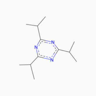 CC(C)c1nc(C(C)C)nc(C(C)C)n1